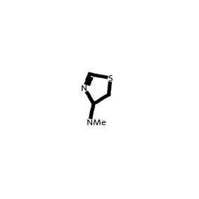 CNC1CSC=N1